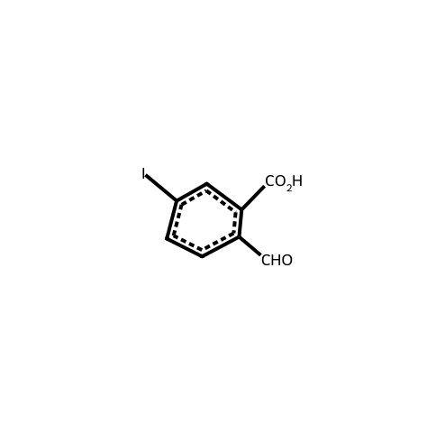 O=Cc1ccc(I)cc1C(=O)O